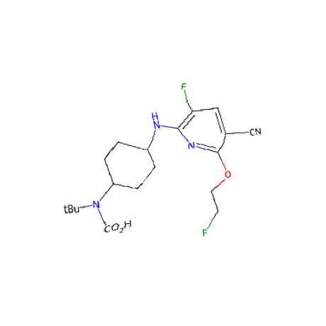 CC(C)(C)N(C(=O)O)C1CCC(Nc2nc(OCCF)c(C#N)cc2F)CC1